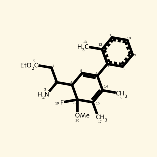 CCOC(=O)CC(N)C1C=C(c2ccccc2C)C(C)=C(C)C1(F)OC